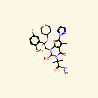 COc1ccc(F)cc1[C@H](CN1c2sc(-n3cccn3)c(C)c2C(=O)N(C(C)(C)C(=O)NC(C)C)C1O)OC1CCOCC1